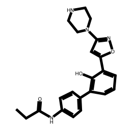 CCC(=O)Nc1ccc(-c2cccc(-c3cc(N4CCNCC4)no3)c2O)cc1